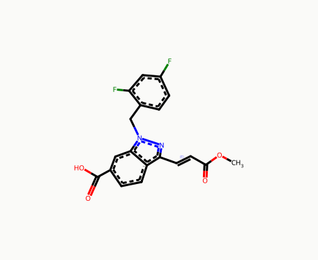 COC(=O)/C=C/c1nn(Cc2ccc(F)cc2F)c2cc(C(=O)O)ccc12